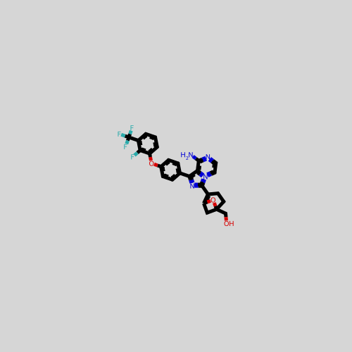 Nc1nccn2c(C3=C4CC(CO)(CC3)O4)nc(-c3ccc(Oc4cccc(C(F)(F)F)c4F)cc3)c12